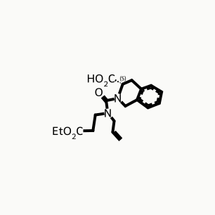 C=CCN(CCC(=O)OCC)C(=O)N1Cc2ccccc2C[C@H]1C(=O)O